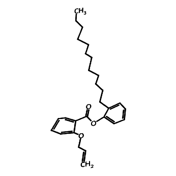 C=CCOc1ccccc1C(=O)Oc1ccccc1CCCCCCCCCCCC